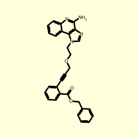 Nc1nc2ccccc2c2c1ncn2CCOCC#Cc1ccccc1C(=O)OCc1ccccc1